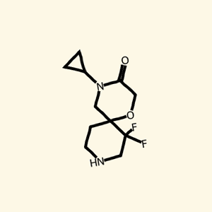 O=C1COC2(CCNCC2(F)F)CN1C1CC1